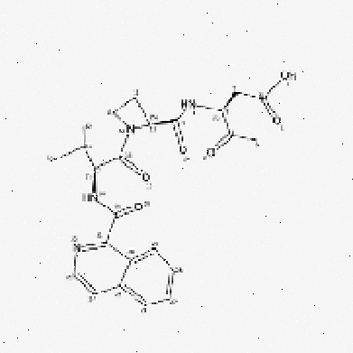 CC(=O)[C@H](CC(=O)O)NC(=O)[C@@H]1CCN1C(=O)[C@@H](NC(=O)c1nccc2ccccc12)C(C)C